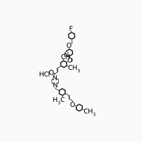 Cc1ccc(OC/C=C/c2ccc(CN3CCN(C(=O)/C=C/c4cc(C)c(Oc5ccc(OCc6ccc(F)cc6)cn5)c(C)c4)CC3)cc2C)cc1.Cl